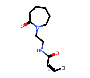 C/C=C\C(=O)NCCN1CCCCCC1=O